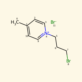 Cc1cc[n+](CCCBr)cc1.[Br-]